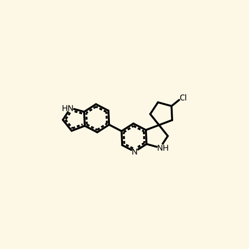 ClC1CCC2(CNc3ncc(-c4ccc5[nH]ccc5c4)cc32)C1